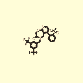 CS(=O)(=O)c1ccccc1-c1ccnc2c1CN(Cc1cc(C(F)(F)F)cc(C(F)(F)F)c1)C(=O)CO2